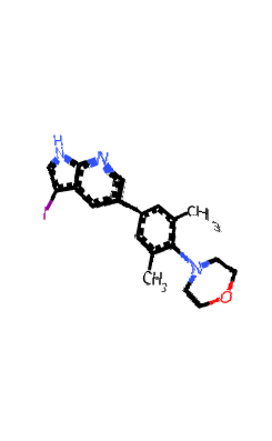 Cc1cc(-c2cnc3[nH]cc(I)c3c2)cc(C)c1N1CCOCC1